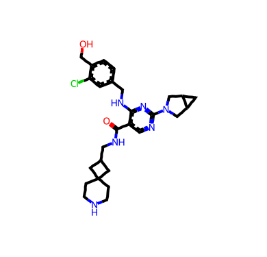 O=C(NCC1CC2(CCNCC2)C1)c1cnc(N2CC3CC3C2)nc1NCc1ccc(CO)c(Cl)c1